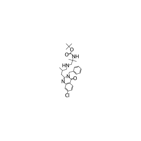 CC(CNCC(C)(C)NC(=O)OC(C)(C)C)Cc1nc2cc(Cl)ccc2c(=O)n1Cc1ccccc1